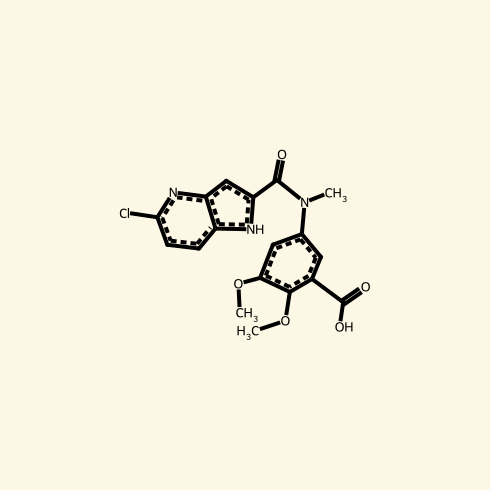 COc1cc(N(C)C(=O)c2cc3nc(Cl)ccc3[nH]2)cc(C(=O)O)c1OC